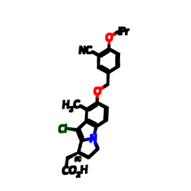 Cc1c(OCc2ccc(OC(C)C)c(C#N)c2)ccc2c1c(Cl)c1n2CC[C@H]1CC(=O)O